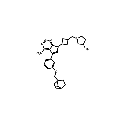 Nc1ncnc2c1c(-c1cccc(OCC34CCC(CC3)O4)c1)cn2C1CC(CN2CC[C@@H](O)C2)C1